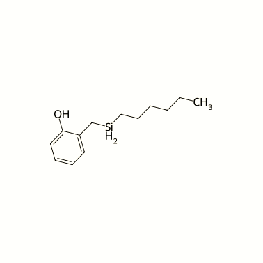 CCCCCC[SiH2]Cc1ccccc1O